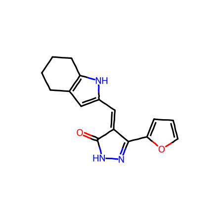 O=C1NN=C(c2ccco2)C1=Cc1cc2c([nH]1)CCCC2